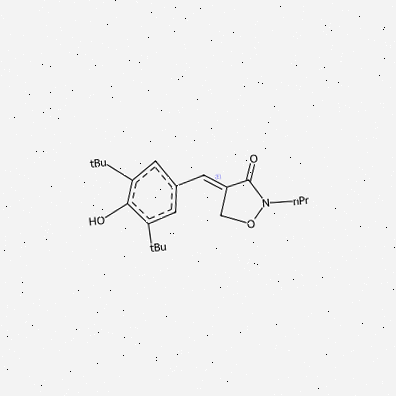 CCCN1OC/C(=C\c2cc(C(C)(C)C)c(O)c(C(C)(C)C)c2)C1=O